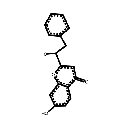 O=c1cc(C(O)Cc2ccccc2)oc2cc(O)ccc12